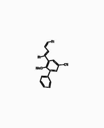 CC/C=C\C=C(/CC)c1cc(C#N)cc(-c2ccccc2)c1OC